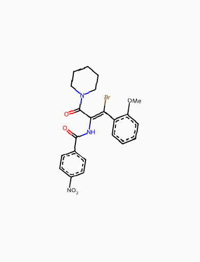 COc1ccccc1C(Br)=C(NC(=O)c1ccc([N+](=O)[O-])cc1)C(=O)N1CCCCC1